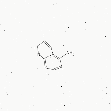 Nc1cccc2c1C=CC[N]2